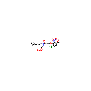 CC(=O)OCCN(CCCCC1CCCC1)C(=O)CCCOc1c(Cl)ccc(C(C)=O)c1[N+](=O)[O-]